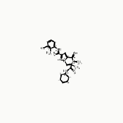 Cc1c(Cl)cccc1NC(=O)c1cc2n(n1)CC(C)(C(=O)NC1CCCCC1)N(C)C2=O